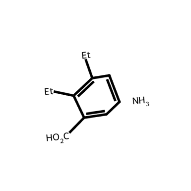 CCc1cccc(C(=O)O)c1CC.N